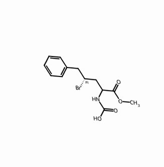 COC(=O)C(C[C@H](Br)Cc1ccccc1)NC(=O)O